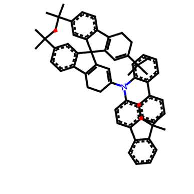 CC(C)(C)C1=CC2=C(CC1)c1ccc(C(C)(C)C)cc1C21C2=C(CCC(N(c3ccc4c(c3)C(C)(C)c3ccccc3-4)c3ccccc3-c3ccccc3)=C2)c2ccc(C(C)(C)C)cc21